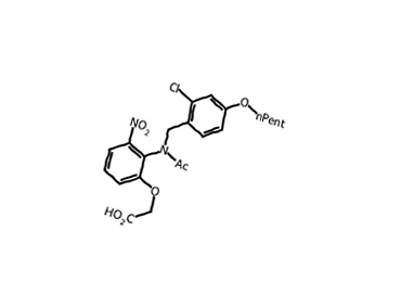 CCCCCOc1ccc(CN(C(C)=O)c2c(OCC(=O)O)cccc2[N+](=O)[O-])c(Cl)c1